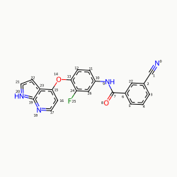 N#Cc1cccc(C(=O)Nc2ccc(Oc3ccnc4[nH]ccc34)c(F)c2)c1